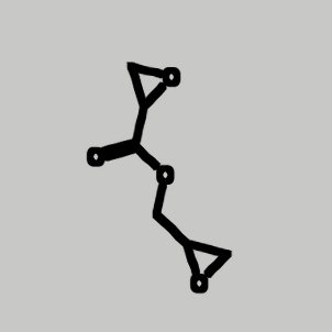 O=C(OCC1CO1)C1CO1